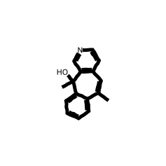 CC1=Cc2ccncc2C(C)(O)c2ccccc21